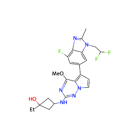 CCC1(O)CC(Nc2nc(OC)c3c(-c4cc(F)c5nc(C)n(CC(F)F)c5c4)ccn3n2)C1